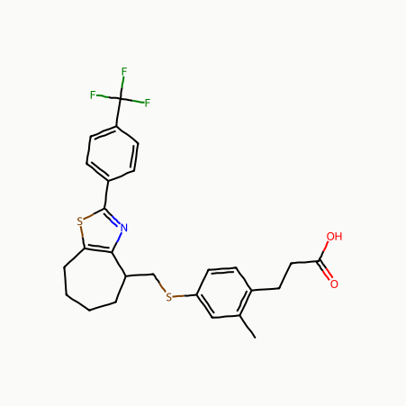 Cc1cc(SCC2CCCCc3sc(-c4ccc(C(F)(F)F)cc4)nc32)ccc1CCC(=O)O